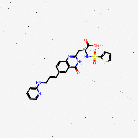 O=C(O)[C@H](Cc1nc2ccc(C=CCNc3ccccn3)cc2c(=O)[nH]1)NS(=O)(=O)c1cccs1